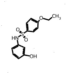 CCOc1ccc(S(=O)(=O)Nc2cccc(O)c2)cc1